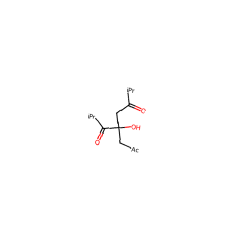 CC(=O)CC(O)(CC(=O)C(C)C)C(=O)C(C)C